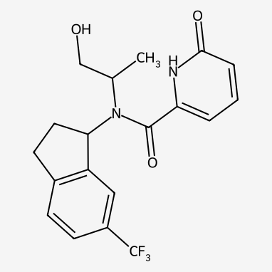 CC(CO)N(C(=O)c1cccc(=O)[nH]1)C1CCc2ccc(C(F)(F)F)cc21